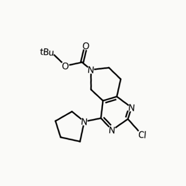 CC(C)(C)OC(=O)N1CCc2nc(Cl)nc(N3CCCC3)c2C1